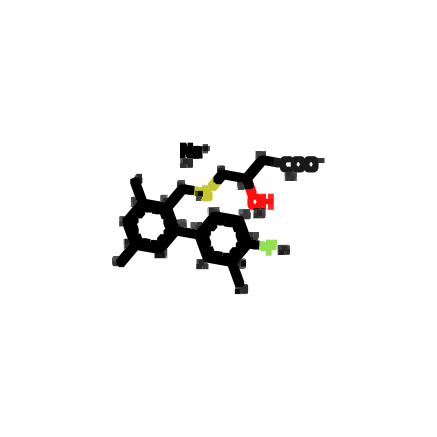 Cc1cc(C)c(CSCC(O)CC(=O)[O-])c(-c2ccc(F)c(C)c2)c1.[Na+]